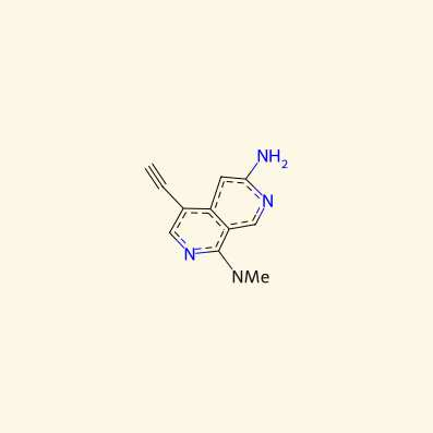 C#Cc1cnc(NC)c2cnc(N)cc12